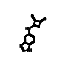 O=c1cc(Nc2ccc3[nH]cnc3c2)c1=O